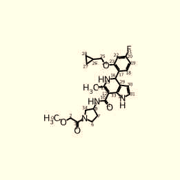 COCC(=O)N1CCC(NC(=O)C2=C(C)NC(c3ccc(F)cc3OCC3CC3)c3cc[nH]c32)C1